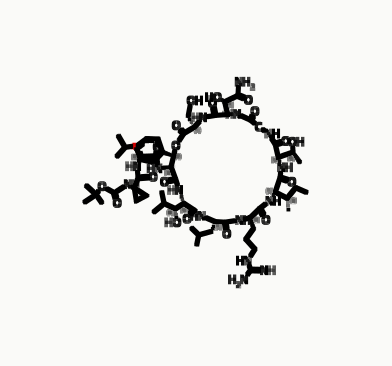 CC[C@H](C)[C@@H]1NC(=O)[C@@H](CCCNC(=N)N)NC(=O)[C@H](CC(C)C)NC(=O)[C@H]([C@H](O)C(C)C)NC(=O)[C@@H](NC(=O)[C@H](CC(C)C)NC(=O)C2(NC(=O)OC(C)(C)C)CC2)[C@@H](c2ccccc2)OC(=O)[C@H](CO)NC(=O)[C@H]([C@H](O)C(N)=O)NC(=O)CNC(=O)[C@H]([C@H](C)O)NC1=O